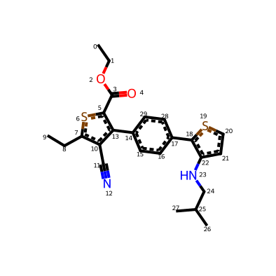 CCOC(=O)c1sc(CC)c(C#N)c1-c1ccc(-c2sccc2NCC(C)C)cc1